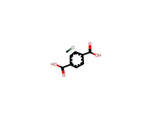 CCl.O=C(O)c1ccc(C(=O)O)cc1